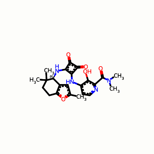 Cc1cc2c(o1)CCC(C)(C)[C@H]2Nc1c(Nc2ccnc(C(=O)N(C)C)c2O)c(=O)c1=O